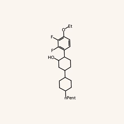 CCCCCC1CCC(C2CCC(c3ccc(OCC)c(F)c3F)C(O)C2)CC1